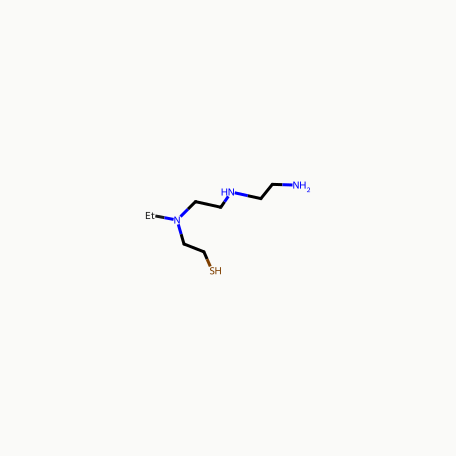 CCN(CCS)CCNCCN